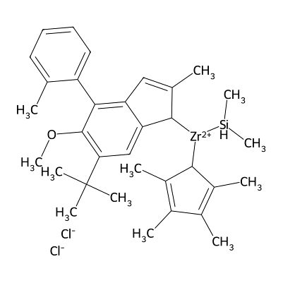 COc1c(C(C)(C)C)cc2c(c1-c1ccccc1C)C=C(C)[CH]2[Zr+2]([CH]1C(C)=C(C)C(C)=C1C)[SiH](C)C.[Cl-].[Cl-]